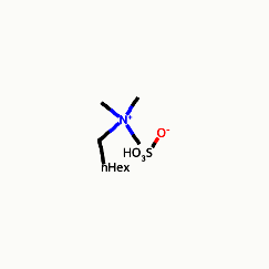 CCCCCCC[N+](C)(C)C.O=S(=O)([O-])O